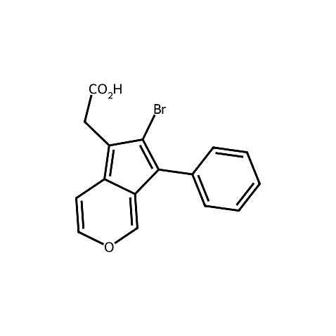 O=C(O)Cc1c2ccocc-2c(-c2ccccc2)c1Br